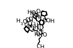 CCCCCNC(=O)[C@H](Cc1ccc(N(C(=O)C(=O)O)c2ccccc2C(=O)O)c(C=CC(N)=O)c1)NC(=O)[C@H](Cc1ccccc1)NC(=O)OC(C)(C)C